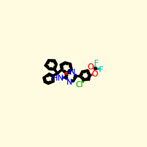 FC1(F)Oc2cc(Cl)c(-c3cnc(NC(c4ccccc4)(c4ccccc4)c4ccccc4)cn3)cc2O1